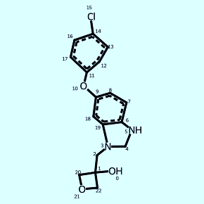 OC1(CN2CNc3ccc(Oc4ccc(Cl)cc4)cc32)COC1